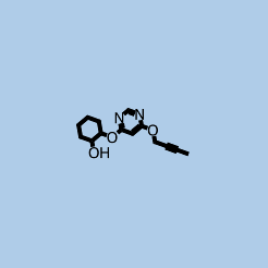 CC#CCOc1cc(OC2CCCCC2O)ncn1